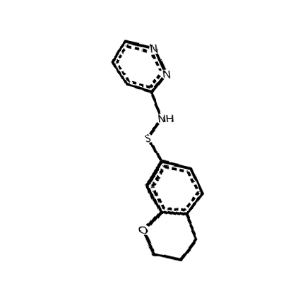 c1cnnc(NSc2ccc3c(c2)OCCC3)c1